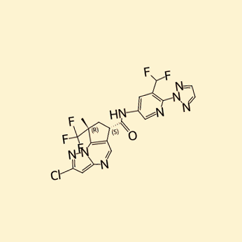 C[C@@]1(C(F)(F)F)C[C@H](C(=O)Nc2cnc(-n3nccn3)c(C(F)F)c2)c2cnc3cc(Cl)nn3c21